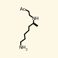 C=C(CCCCCN)NCCC(C)=O